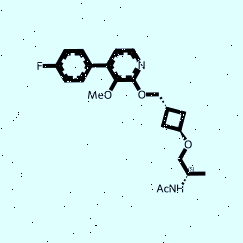 COc1c(-c2ccc(F)cc2)ccnc1OC[C@H]1C[C@H](OC[C@H](C)NC(C)=O)C1